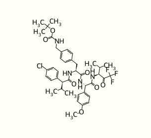 COc1ccc([C@H](NC(=O)[C@H](Cc2ccc(CNC(=O)OC(C)(C)C)cc2)NC(=O)[C@H](c2ccc(Cl)cc2)C(C)C)C(=O)N[C@H](C(=O)C(F)(F)F)C(C)C)cc1